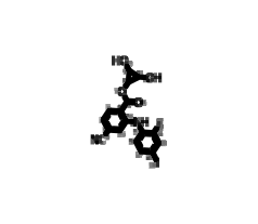 N#Cc1ccc(C(=O)OC2C(O)C2O)c(Nc2ccc(I)cc2F)c1